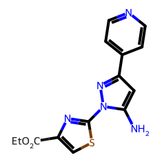 CCOC(=O)c1csc(-n2nc(-c3ccncc3)cc2N)n1